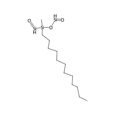 CCCCCCCCCCCC[Si](C)(O[SiH]=O)[SiH]=O